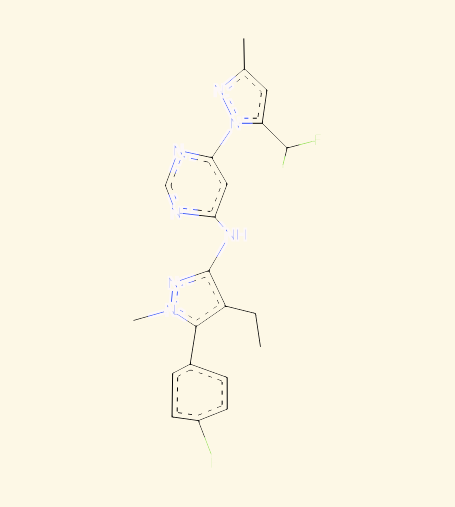 CCc1c(Nc2cc(-n3nc(C)cc3C(F)F)ncn2)nn(C)c1-c1ccc(F)cc1